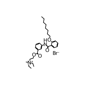 CCCCCCCCOc1ccccc1C(=O)Nc1cccc(C(=O)OCC[N+](C)(CC)CC)c1.[Br-]